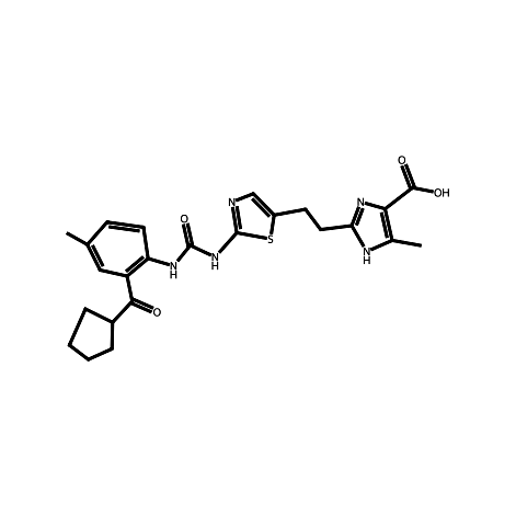 Cc1ccc(NC(=O)Nc2ncc(CCc3nc(C(=O)O)c(C)[nH]3)s2)c(C(=O)C2CCCC2)c1